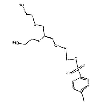 Cc1ccc(S(=O)(=O)OCCOCC(COCCO)OCCO)cc1